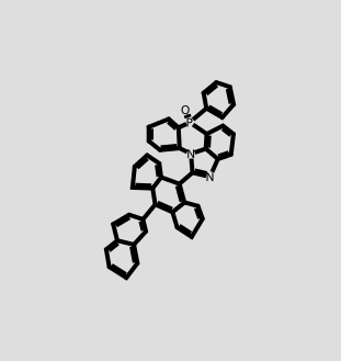 O=P1(c2ccccc2)c2ccccc2-n2c(-c3c4ccccc4c(-c4ccc5ccccc5c4)c4ccccc34)nc3cccc1c32